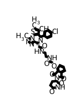 Cc1sc2c(c1C)C(c1ccc(Cl)cc1)=N[C@H](CC(=O)NCCNC(=O)COc1cccc3c1C(=O)N(C1CCC(=O)NC1=O)C3=O)c1nnc(C)n1-2